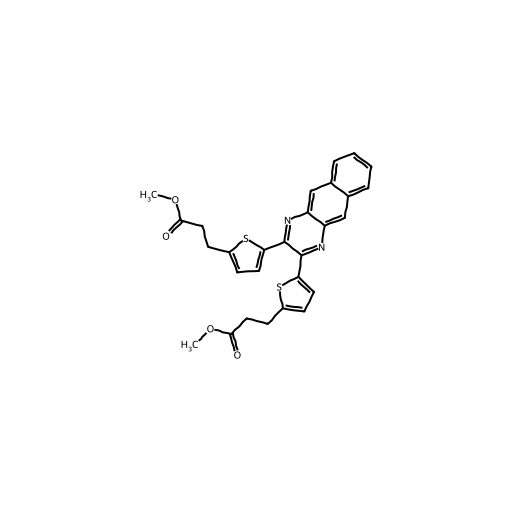 COC(=O)CCc1ccc(-c2nc3cc4ccccc4cc3nc2-c2ccc(CCC(=O)OC)s2)s1